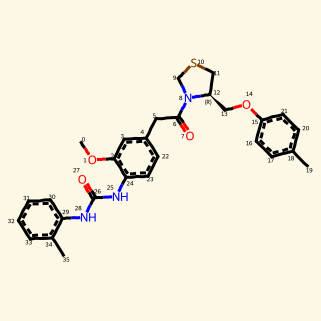 COc1cc(CC(=O)N2CSC[C@H]2COc2ccc(C)cc2)ccc1NC(=O)Nc1ccccc1C